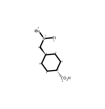 CCC(C)N(CC)C[C@H]1CC[C@H](C(=O)O)CC1